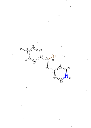 Cc1ccc(C(Br)=Cc2ccncc2)cc1